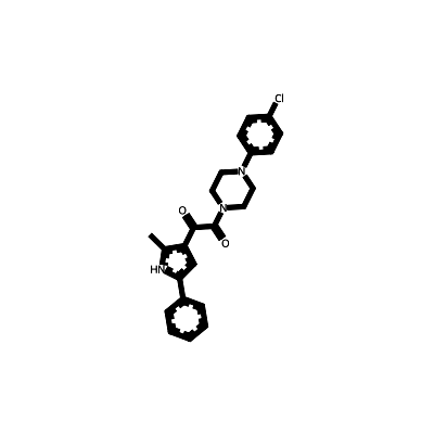 Cc1[nH]c(-c2ccccc2)cc1C(=O)C(=O)N1CCN(c2ccc(Cl)cc2)CC1